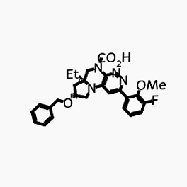 CC[C@]12C[C@@H](OCc3ccccc3)CN1c1cc(-c3cccc(F)c3OC)nnc1N(C(=O)O)C2